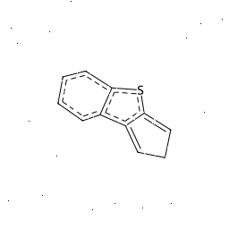 C1=c2sc3ccccc3c2=CC1